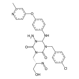 Cc1cc(Oc2ccc(NC3N(N)C(=O)N(C[C@@H](CO)N=O)C(=O)N3Cc3ccc(Cl)cc3)cc2)ccn1